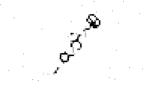 O=C(CC12CC3CC(CC(C3)C1)C2)Nc1ncnc2c1CCN(Cc1cccc(OCCO)c1)C2